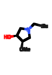 CO[C@@H]1CN(CC(C)(C)C)C[C@@H]1O